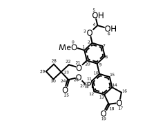 COc1c(OC(O)O)ccc(-c2ccc3c(c2)COC3=O)c1OCC1(C(=O)OC(C)C)CCC1